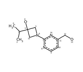 CC(C)C1([O])CN(c2nccc(C[O])n2)C1